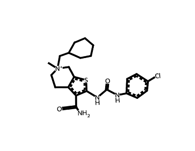 C[N+]1(CC2CCCCC2)CCc2c(sc(NC(=O)Nc3ccc(Cl)cc3)c2C(N)=O)C1